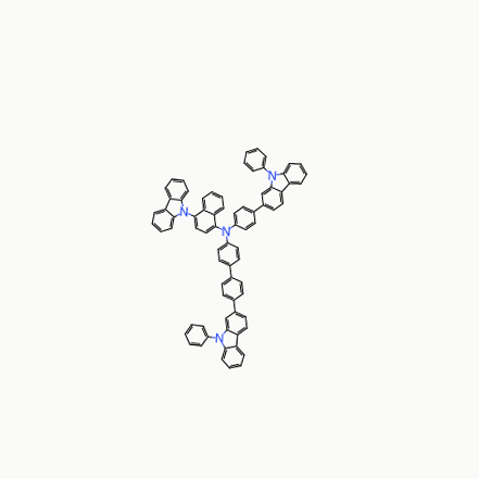 c1ccc(-n2c3ccccc3c3ccc(-c4ccc(-c5ccc(N(c6ccc(-c7ccc8c9ccccc9n(-c9ccccc9)c8c7)cc6)c6ccc(-n7c8ccccc8c8ccccc87)c7ccccc67)cc5)cc4)cc32)cc1